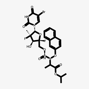 CC(C)OC(=O)C(C)N(Oc1ccc2ccccc2c1)[P@@H](=O)OC[C@@]1(F)O[C@@H](n2cc(Br)c(=O)[nH]c2=O)[C@](C)(F)[C@@H]1O